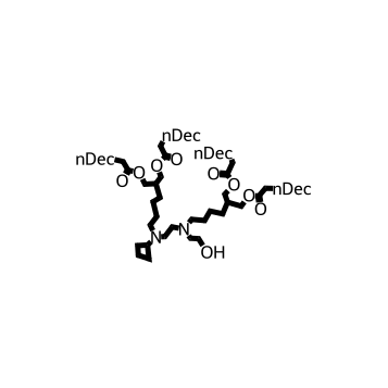 CCCCCCCCCCCC(=O)OCC(CCCCN(CCO)CCN(CCCCC(COC(=O)CCCCCCCCCCC)COC(=O)CCCCCCCCCCC)C1CCC1)COC(=O)CCCCCCCCCCC